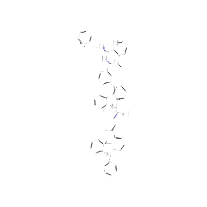 C=N/C(=N\C(=N/Cc1ccccn1)c1ccccn1)c1cccc(-c2cccc3c2c2ccccc2n3/C(=C/C=C(\C)C2=CC=CC3C2c2ccccc2N3c2ccccc2)CC)c1